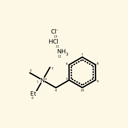 CC[N+](C)(C)Cc1ccccc1.Cl.N.[Cl-]